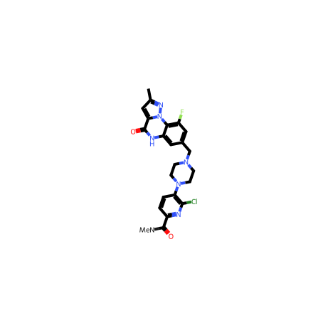 CNC(=O)c1ccc(N2CCN(Cc3cc(F)c4c(c3)[nH]c(=O)c3cc(C)nn34)CC2)c(Cl)n1